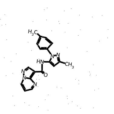 Cc1ccc(-n2nc(C)cc2NC(=O)c2cnn3cccnc23)cc1